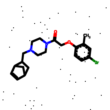 Cc1cc(Br)ccc1OCC(=O)N1CCN(CC2CC3C=CC2C3)CC1